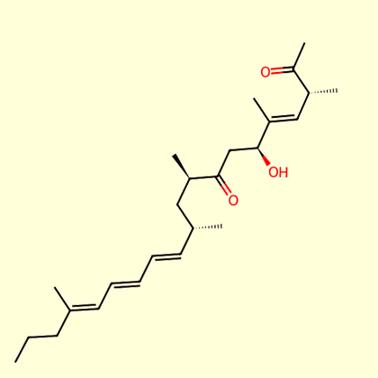 CCC/C(C)=C/C=C/C=C/[C@@H](C)C[C@@H](C)C(=O)C[C@H](O)/C(C)=C/[C@@H](C)C(C)=O